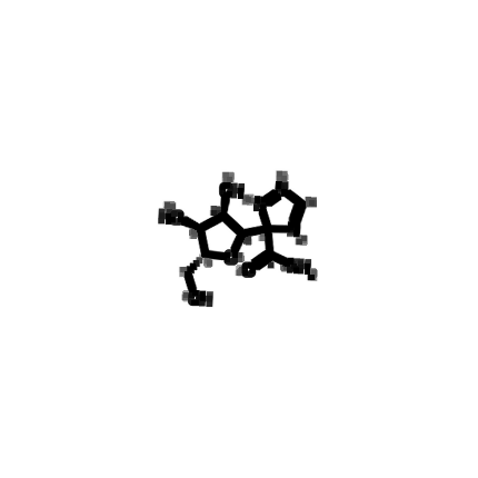 NC(=O)C1(C2O[C@H](CO)[C@@H](O)[C@H]2O)N=CN=N1